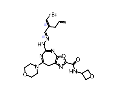 C=CCC(/C=N/NC1=Nc2oc(C(=O)NC3COC3)nc2CC(N2CCOCC2)=N1)=C\CCCC